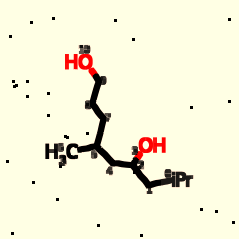 CC(C)CC(O)CC(C)CCCO